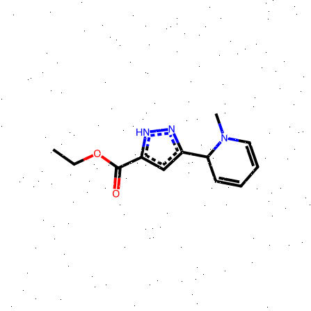 CCOC(=O)c1cc(C2C=CC=CN2C)n[nH]1